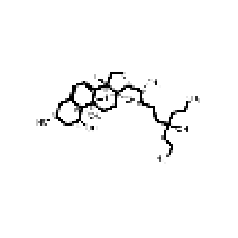 CCCC(O)(CCC)CCC[C@@H](C)[C@H]1CC[C@H]2C3=CC=C4C[C@@H](O)C[C@H](O)[C@]4(C)[C@H]3CC[C@]12C